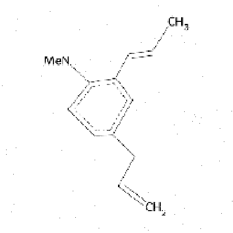 C=CCc1ccc(NC)c(/C=C/C)c1